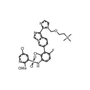 COc1ncc(Cl)cc1S(=O)(=O)Nc1ccc(F)c(-c2ccc3c(-c4nccn4COCC[Si](C)(C)C)ncn3c2)c1Cl